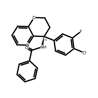 O=C(N[C@]1(c2ccc(Cl)c(F)c2)CCOc2cccnc21)c1ccccc1